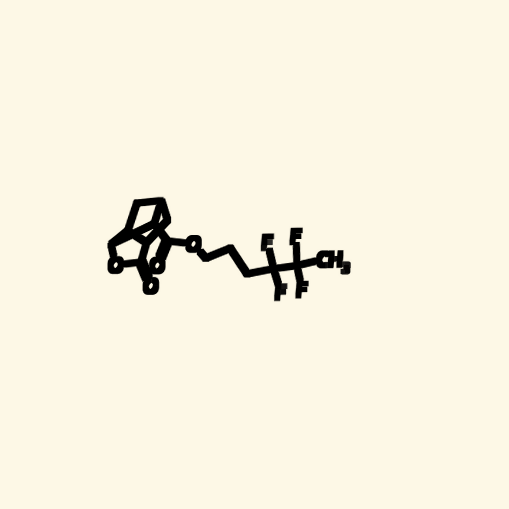 CC(F)(F)C(F)(F)CCCOC(=O)C1C2CC3C(=O)OC1C3C2